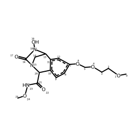 COCCOCOc1ccc2c(c1)C1CN(C(=O)N1O)C2C(=O)NOC